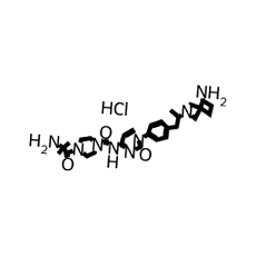 CC(Cc1ccc(-n2ccc(NC(=O)N3CCN(C(=O)C(C)(C)N)CC3)nc2=O)cc1)N1CC2(CCC2N)C1.Cl